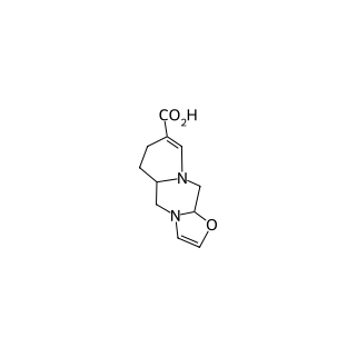 O=C(O)C1=CN2CC3OC=CN3CC2CC1